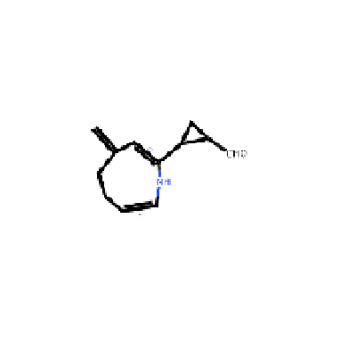 C=C1/C=C(/C2CC2C=O)N/C=C\CC1